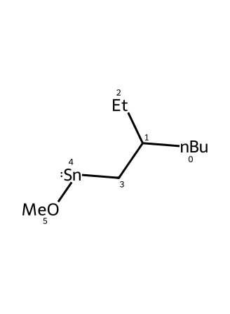 CCCCC(CC)[CH2][Sn][O]C